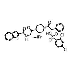 CC(C)C[C@H](NC(=O)c1cc2ccccc2s1)C(=O)N1CCN(C(=O)[C@@H](NS(=O)(=O)c2ccc(Cl)cc2Cl)c2ccccc2)CC1